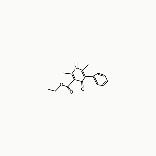 CCOC(=O)c1c(C)[nH]c(C)c(-c2ccccc2)c1=O